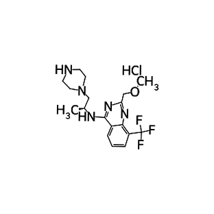 COCc1nc(N[C@@H](C)CN2CCNCC2)c2cccc(C(F)(F)F)c2n1.Cl